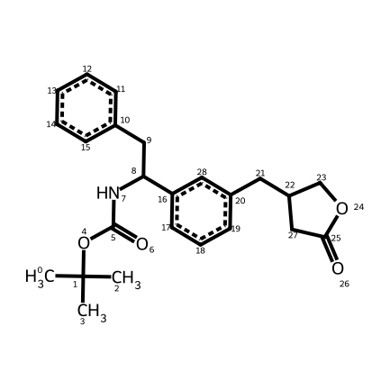 CC(C)(C)OC(=O)NC(Cc1ccccc1)c1cccc(CC2COC(=O)C2)c1